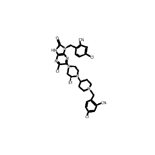 CC[C@H]1CN(c2nc3c(nc2Cl)[nH]c(=O)n3Cc2ccc(Cl)cc2C#N)CCN1C1CCN(Cc2ccc(Cl)cc2C#N)CC1